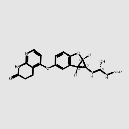 CCCCCCCCCCN[C@@H](O)N[C@@H]1[C@H]2Oc3ccc(Oc4ccnc5c4CCC(=O)N5)cc3[C@@H]12